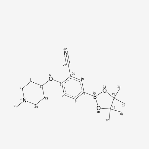 CN1CCC(Oc2ccc(B3OC(C)(C)C(C)(C)O3)cc2C#N)CC1